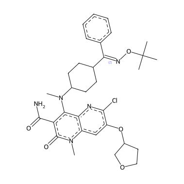 CN(c1c(C(N)=O)c(=O)n(C)c2cc(OC3CCOC3)c(Cl)nc12)C1CCC(/C(=N/OC(C)(C)C)c2ccccc2)CC1